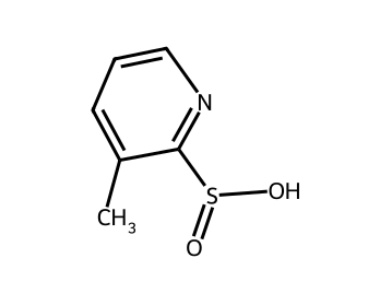 Cc1cccnc1S(=O)O